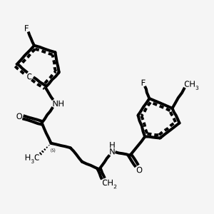 C=C(CC[C@H](C)C(=O)Nc1ccc(F)cc1)NC(=O)c1ccc(C)c(F)c1